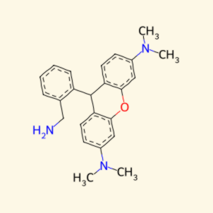 CN(C)c1ccc2c(c1)Oc1cc(N(C)C)ccc1C2c1ccccc1CN